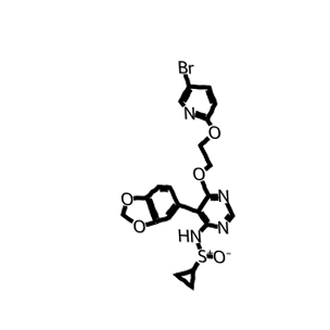 [O-][S+](Nc1ncnc(OCCOc2ccc(Br)cn2)c1-c1ccc2c(c1)OCO2)C1CC1